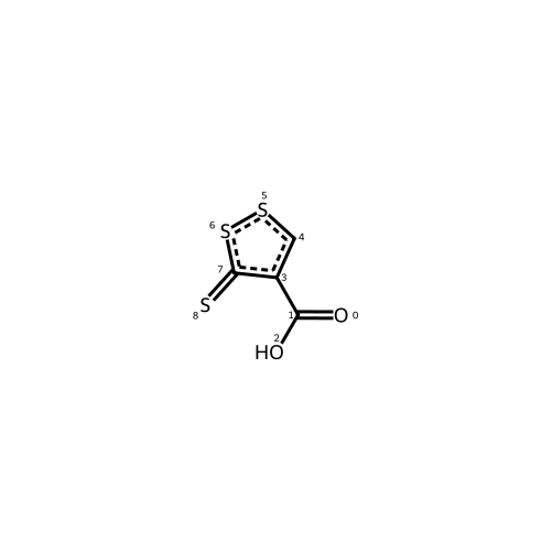 O=C(O)c1cssc1=S